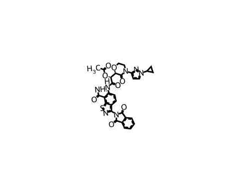 CC(=O)O[C@@H](C(=O)Nc1ccc2c(N3C(=O)c4ccccc4C3=O)nsc2c1C(N)=O)[C@H]1OCCN(c2ccn(C3CC3)n2)C1=O